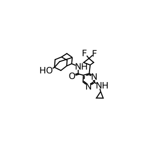 O=C(NC1C2CC3CC1CC(O)(C3)C2)c1cnc(NC2CC2)nc1C1CC(F)(F)C1